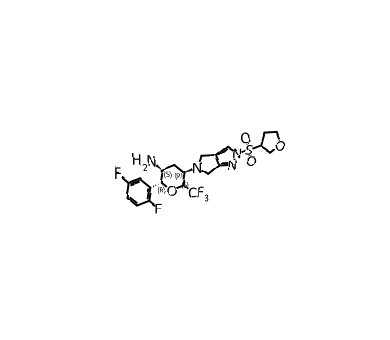 N[C@H]1C[C@@H](N2Cc3cn(S(=O)(=O)C4CCOC4)nc3C2)[C@@H](C(F)(F)F)O[C@@H]1c1cc(F)ccc1F